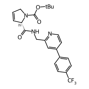 CC(C)(C)OC(=O)N1CC=C[C@H]1C(=O)NCc1cc(-c2ccc(C(F)(F)F)cc2)ccn1